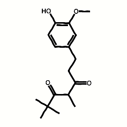 COc1cc(CCC(=O)C(C)C(=O)C(C)(C)C)ccc1O